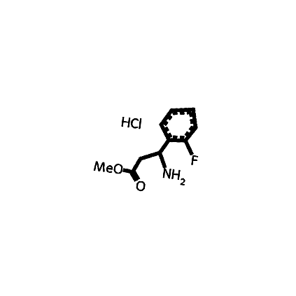 COC(=O)CC(N)c1ccccc1F.Cl